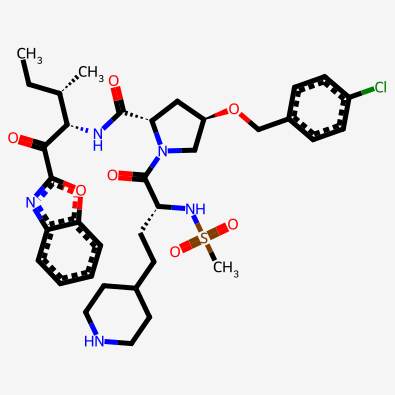 CC[C@H](C)[C@H](NC(=O)[C@@H]1C[C@@H](OCc2ccc(Cl)cc2)CN1C(=O)[C@@H](CCC1CCNCC1)NS(C)(=O)=O)C(=O)c1nc2ccccc2o1